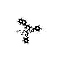 O=C(Nc1cc(-c2ccc3ccccc3c2)cn([C@@H](COCc2ccccc2)C(=O)O)c1=O)c1ccc(C(F)(F)F)cc1